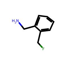 NCc1ccccc1CF